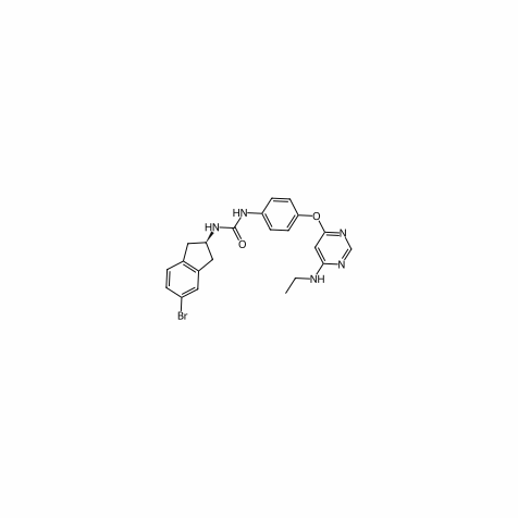 CCNc1cc(Oc2ccc(NC(=O)N[C@@H]3Cc4ccc(Br)cc4C3)cc2)ncn1